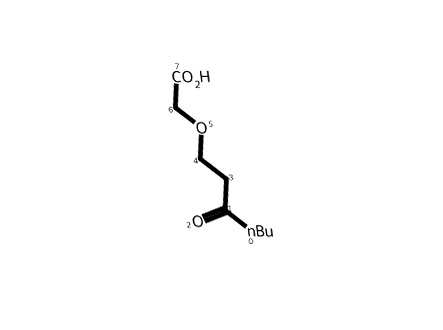 CCCCC(=O)CCOCC(=O)O